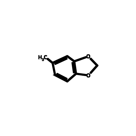 Cc1[c]cc2c(c1)OCO2